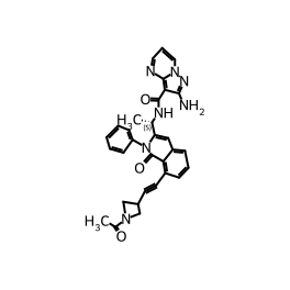 CC(=O)N1CC(C#Cc2cccc3cc([C@H](C)NC(=O)c4c(N)nn5cccnc45)n(-c4ccccc4)c(=O)c23)C1